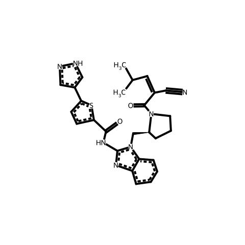 CC(C)/C=C(/C#N)C(=O)N1CCC[C@H]1Cn1c(NC(=O)c2ccc(-c3cn[nH]c3)s2)nc2ccccc21